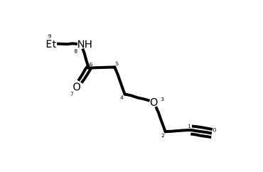 C#CCOCCC(=O)NCC